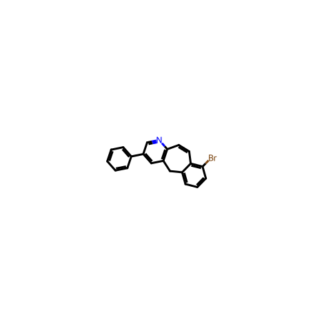 Brc1cccc2c1C=Cc1ncc(-c3ccccc3)cc1C2